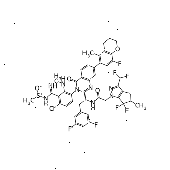 CNc1c(-n2c(C(Cc3cc(F)cc(F)c3)NC(=O)Cn3nc(C(F)F)c4c3C(F)(F)C(C)C4)nc3cc(-c4cc(F)c5c(c4C)CCCO5)ccc3c2=O)ccc(Cl)c1C(=N)N[S+](C)[O-]